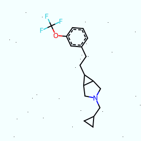 FC(F)(F)Oc1cccc([CH]CC2C3CN(CC4CC4)CC23)c1